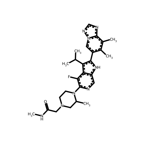 CNC(=O)CN1CCN(c2ncc3[nH]c(-c4cn5ncnc5c(C)c4C)c(C(C)C)c3c2F)C(C)C1